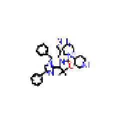 CC(C)(C)[C@H](c1nc(-c2ccccc2)cn1Cc1ccccc1)N(CCCN)C(=O)[N+]1(C2CCNCC2)CCCCC1